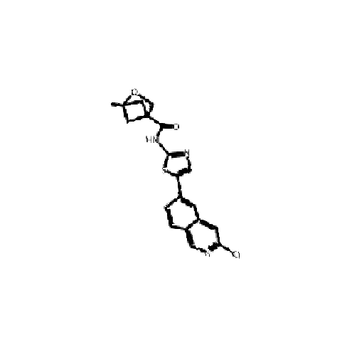 CC12CC(C(=O)Nc3ncc(-c4ccc5cnc(Cl)cc5c4)s3)(CO1)C2